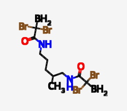 BC(Br)(Br)C(=O)NCCCC(C)CNC(=O)C(B)(Br)Br